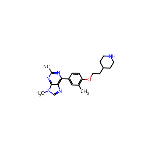 Cc1cc(-c2nc(C#N)nc3c2ncn3C)ccc1OCCC1CCNCC1